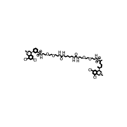 C=C(/C=C\C=C(/C)S(=O)(=O)NCCOCCOCCNC(=O)NCCCCNC(=O)NCCOCCOCCNS(=O)(=O)c1cccc([C@@H]2CN(C)Cc3c(Cl)cc(Cl)cc32)c1)[C@H]1CN(C)Cc2c(Cl)cc(Cl)cc21